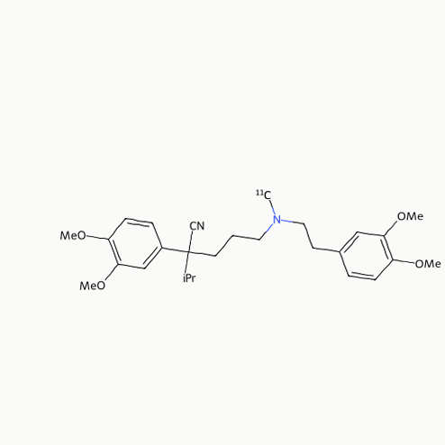 COc1ccc(CCN([11CH3])CCCC(C#N)(c2ccc(OC)c(OC)c2)C(C)C)cc1OC